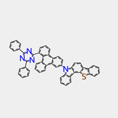 c1ccc(-c2nc(-c3ccccc3)nc(-c3cccc4c5ccc(-n6c7ccccc7c7c8sc9ccccc9c8ccc76)cc5c5ccccc5c34)n2)cc1